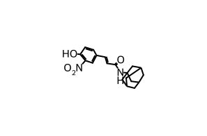 O=C(C=Cc1ccc(O)c([N+](=O)[O-])c1)NC12CC3CC(CC(C3)C1)C2